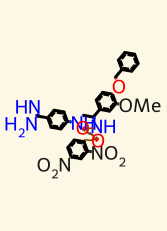 COc1cc(C(CNc2ccc(C(=N)N)cc2)NS(=O)(=O)c2ccc([N+](=O)[O-])cc2[N+](=O)[O-])ccc1OCc1ccccc1